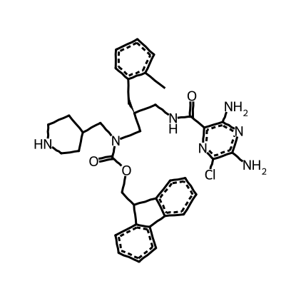 Cc1ccccc1C[C@@H](CNC(=O)c1nc(Cl)c(N)nc1N)CN(CC1CCNCC1)C(=O)OCC1c2ccccc2-c2ccccc21